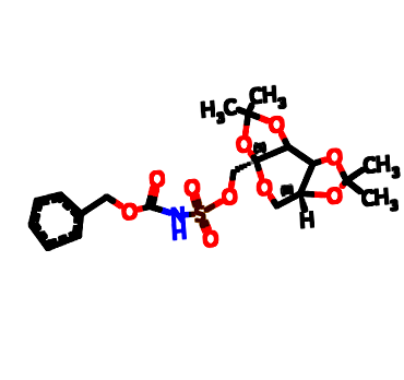 CC1(C)OC2C3OC(C)(C)O[C@]3(COS(=O)(=O)NC(=O)OCc3ccccc3)OC[C@H]2O1